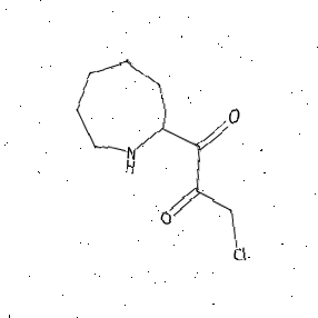 O=C(CCl)C(=O)C1CCCCCN1